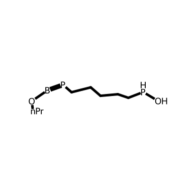 CCCOB=PCCCCCPO